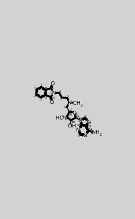 CN(CCCN1C(=O)c2ccccc2C1=O)C[C@H]1O[C@@H](n2cnc3c(N)ncnc32)[C@H](O)[C@@H]1O